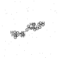 O=C(COc1cccc([C@](O)(C(=O)O)c2ccccc2)c1)N[C@@H]1CCN(C(=O)c2ccc(CCNC[C@H](O)c3ccc(O)c4[nH]c(=O)ccc34)cc2)C1